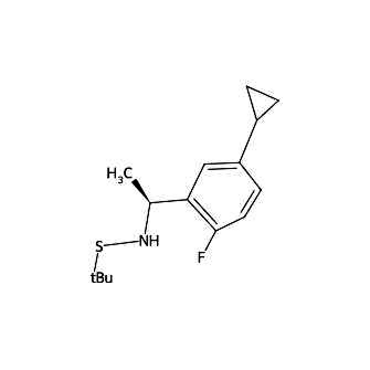 C[C@H](NSC(C)(C)C)c1cc(C2CC2)ccc1F